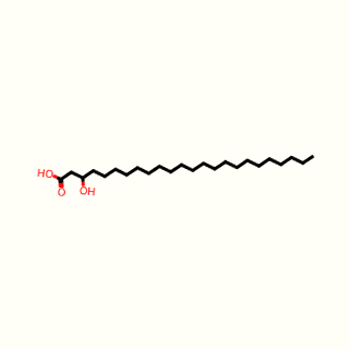 CCCCCCCCCCCCCCCCCCCCCC(O)CC(=O)O